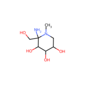 CN1CC(O)C(O)C(O)C1(N)CO